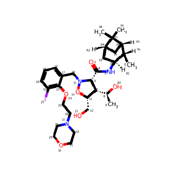 C[C@@H]1[C@@H](NC(=O)[C@@H]2[C@H]([C@H](C)O)[C@H](CO)ON2Cc2cccc(I)c2OCCN2CCOCC2)C[C@H]2C[C@@H]1C2(C)C